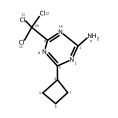 Nc1nc(C2CCC2)nc(C(Cl)(Cl)Cl)n1